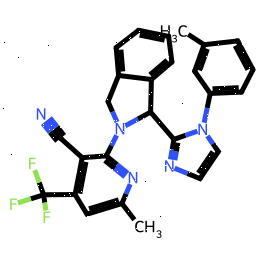 Cc1cccc(-n2ccnc2C2c3ccccc3CN2c2nc(C)cc(C(F)(F)F)c2C#N)c1